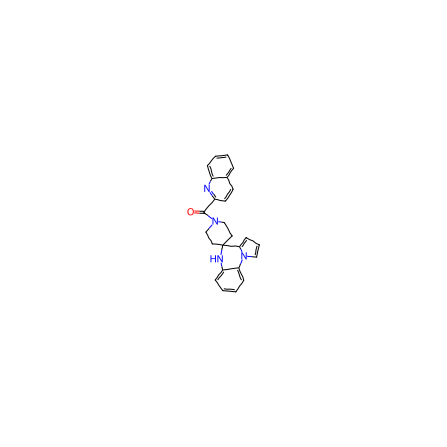 O=C(c1ccc2ccccc2n1)N1CCC2(CC1)Nc1ccccc1-n1cccc12